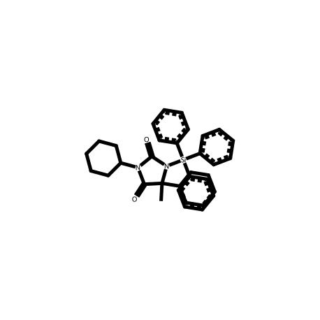 CC1(C2CCCCC2)C(=O)N(C2CCCCC2)C(=O)N1[Si](c1ccccc1)(c1ccccc1)c1ccccc1